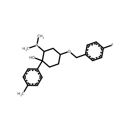 Cc1ccc(C2(O)CCC(OCc3ccc(F)cc3)CC2N(C)C)cc1